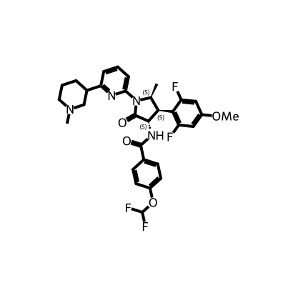 COc1cc(F)c([C@H]2[C@H](NC(=O)c3ccc(OC(F)F)cc3)C(=O)N(c3cccc(C4CCCN(C)C4)n3)[C@H]2C)c(F)c1